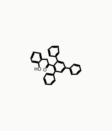 O=C(Cc1ccccc1O)c1c(-c2ccccc2)cc(-c2ccccc2)cc1-c1ccccc1